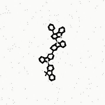 CC1(C)c2ccccc2-c2ccc(-n3c4c(c5ccccc53)CC(c3ccc5c(c3)c3ccccc3n5-c3ccc(-c5ccccc5)c5c3sc3ccccc35)C=C4)cc21